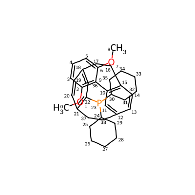 COc1cccc(OC)c1-c1cc2ccc1CCc1ccc(c(P(C3CCCCC3)C3CCCCC3)c1)CC2